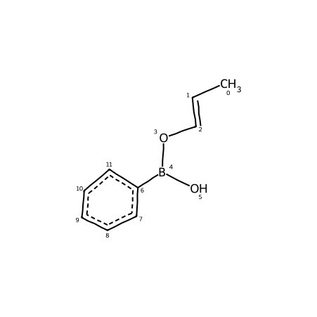 CC=COB(O)c1ccccc1